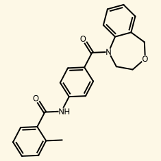 Cc1ccccc1C(=O)Nc1ccc(C(=O)N2CCOCc3ccccc32)cc1